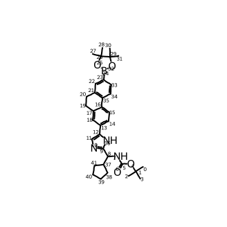 CC(C)(C)OC(=O)NC(c1ncc(-c2ccc3c(c2)CCc2cc(B4OC(C)(C)C(C)(C)O4)ccc2-3)[nH]1)C1CCCC1